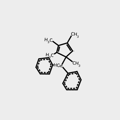 CC1=[C][C](C)([GeH]([c]2ccccc2)[c]2ccccc2)C(C)=C1C